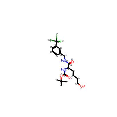 CC(C)(C)OC(=O)NC(CCCCO)C(=O)NCc1cccc(C(F)(F)F)c1